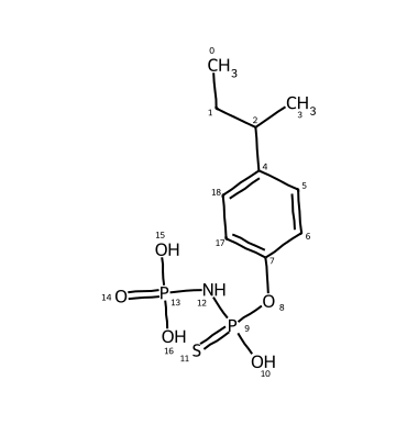 CCC(C)c1ccc(OP(O)(=S)NP(=O)(O)O)cc1